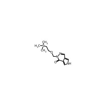 C[Si](C)(C)CCOCn1ncc2c[nH]cc2c1=O